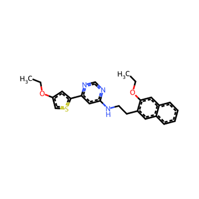 CCOc1csc(-c2cc(NCCc3cc4ccccc4cc3OCC)ncn2)c1